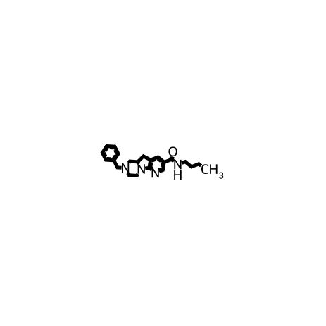 CCCCNC(=O)c1cnc2c(c1)CC1CN(Cc3ccccc3)CCN21